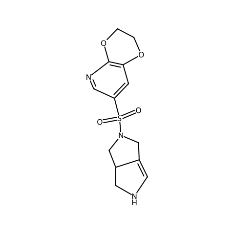 O=S(=O)(c1cnc2c(c1)OCCO2)N1CC2=CNCC2C1